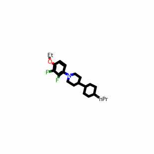 CCCC1CCC(C2CCN(c3ccc(OCC)c(F)c3F)CC2)CC1